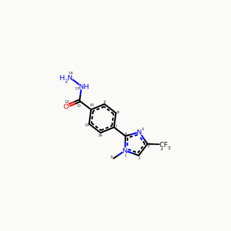 Cn1cc(C(F)(F)F)nc1-c1ccc(C(=O)NN)cc1